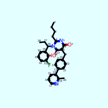 CCCCc1nc(=O)c(Cc2ccc(-c3cccnc3C)cc2)c(O)n1C(CC)c1cccc(F)c1